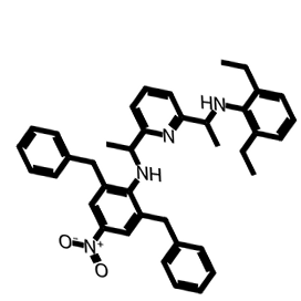 CCc1cccc(CC)c1NC(C)c1cccc(C(C)Nc2c(Cc3ccccc3)cc([N+](=O)[O-])cc2Cc2ccccc2)n1